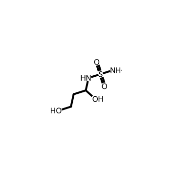 [NH]S(=O)(=O)NC(O)CCO